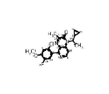 COc1cc(Cl)c(-c2nccc3c2nc(C)c(=O)n3C(C)C2CC2)cc1F